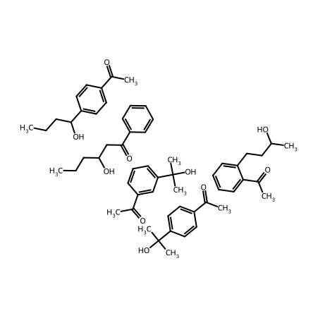 CC(=O)c1ccc(C(C)(C)O)cc1.CC(=O)c1cccc(C(C)(C)O)c1.CC(=O)c1ccccc1CCC(C)O.CCCC(O)CC(=O)c1ccccc1.CCCC(O)c1ccc(C(C)=O)cc1